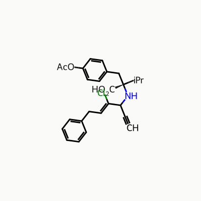 C#CC(N[C@@](Cc1ccc(OC(C)=O)cc1)(C(=O)O)C(C)C)C(Cl)=CCc1ccccc1